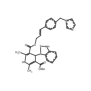 COC(=O)C1=C(C)NC(C)=C(C(=O)OCC=Cc2ccc(Cn3ccnc3)cc2)C1N1SNc2ccccc21